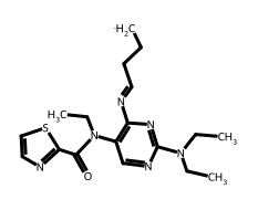 [CH2]CCC=Nc1nc(N(CC)CC)ncc1N(CC)C(=O)c1nccs1